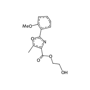 COc1ccccc1-c1nc(C(=O)OCCO)c(C)o1